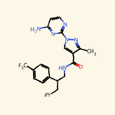 Cc1nn(-c2nccc(N)n2)cc1C(=O)NCC(CC(C)C)c1ccc(C(F)(F)F)cc1